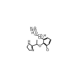 CC(=O)O.CC(Oc1c(Cl)cccc1Cl)C1=NCCN1.O.O.O